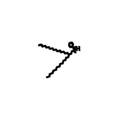 CCCCCCCCCCCCCCCCC(CCCCCCCCCCCCCC)CCC(C)Nc1ccccc1